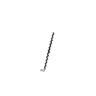 CCCCCCCCCCCCC=CCCCCCCCCCCO